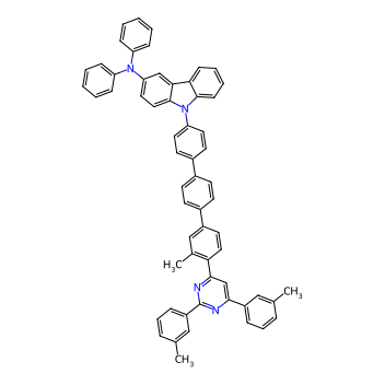 Cc1cccc(-c2cc(-c3ccc(-c4ccc(-c5ccc(-n6c7ccccc7c7cc(N(c8ccccc8)c8ccccc8)ccc76)cc5)cc4)cc3C)nc(-c3cccc(C)c3)n2)c1